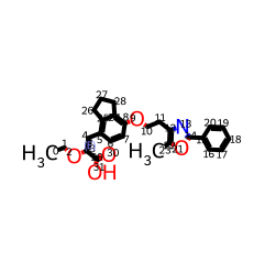 CCO/C(=C/c1ccc(OCCc2nc(-c3ccccc3)oc2C)c2c1CCC2)C(=O)O